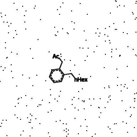 CCCCCCCc1ccccc1CC(C)=O